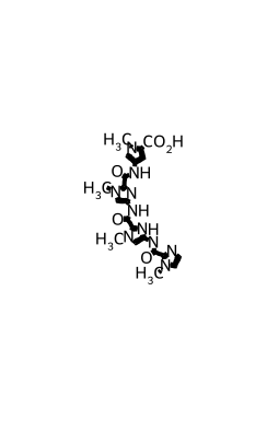 Cn1cc(NC(=O)c2nc(NC(=O)c3nc(NC(=O)c4nccn4C)cn3C)cn2C)cc1C(=O)O